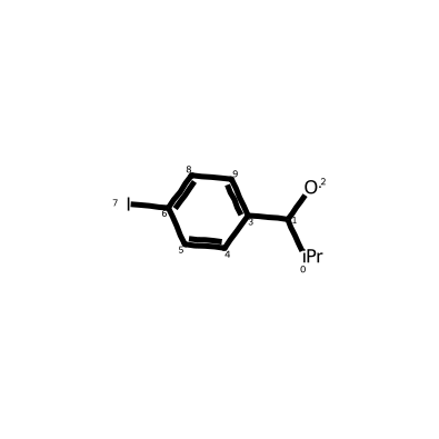 CC(C)C([O])c1ccc(I)cc1